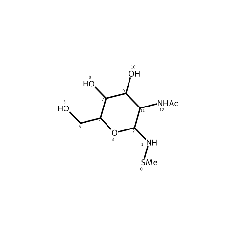 CSNC1OC(CO)C(O)C(O)C1NC(C)=O